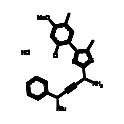 CCCC[C@H](C#CC(N)c1nc(-c2cc(C)c(OC)cc2Cl)c(C)s1)c1ccccc1.Cl